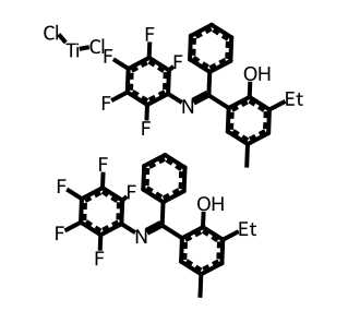 CCc1cc(C)cc(C(=Nc2c(F)c(F)c(F)c(F)c2F)c2ccccc2)c1O.CCc1cc(C)cc(C(=Nc2c(F)c(F)c(F)c(F)c2F)c2ccccc2)c1O.[Cl][Ti][Cl]